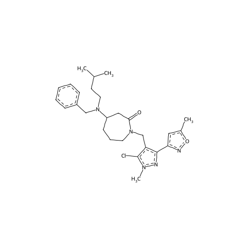 Cc1cc(-c2nn(C)c(Cl)c2CN2CCCC(N(CCC(C)C)Cc3ccccc3)CC2=O)no1